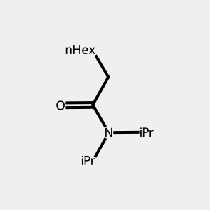 CCCCCCCC(=O)N(C(C)C)C(C)C